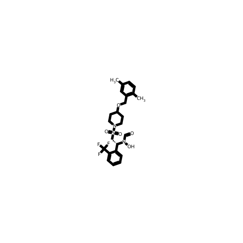 Cc1ccc(C)c(COC2CCN(S(=O)(=O)C[C@@H](c3ccccc3C(F)(F)F)N(O)C=O)CC2)c1